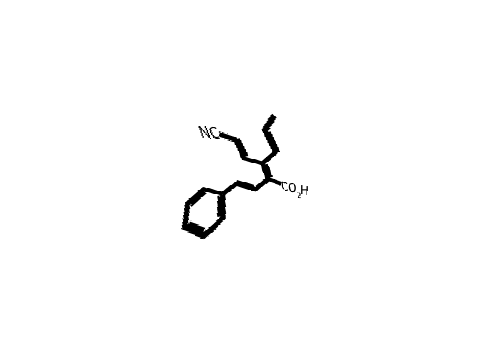 CC=CC(C=CC#N)=C(C=Cc1ccccc1)C(=O)O